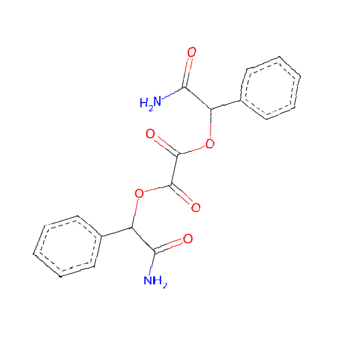 NC(=O)C(OC(=O)C(=O)OC(C(N)=O)c1ccccc1)c1ccccc1